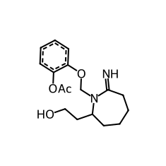 CC(=O)Oc1ccccc1OCN1C(=N)CCCCC1CCO